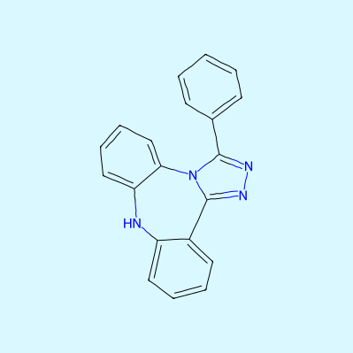 c1ccc(-c2nnc3n2-c2ccccc2Nc2ccccc2-3)cc1